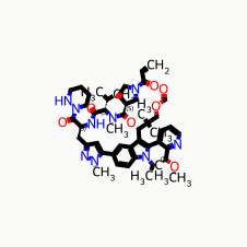 C=CC(=O)N1CC[C@H](C(=O)N(C)[C@H](C(=O)N[C@@H](Cc2cc(-c3ccc4c(c3)c(CC(C)(C)COC=O)c(-c3cccnc3[C@H](C)OC)n4CC)n(C)n2)C(=O)N2CCCCN2)C(C)C)C1